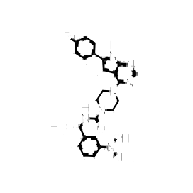 C[C@H](NC(=O)N1CCN(c2ncnc3[nH]c(-c4ccc(F)cc4)cc23)CC1)c1cccc(N(C)C)c1